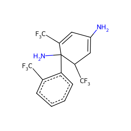 NC1=CC(C(F)(F)F)C(N)(c2ccccc2C(F)(F)F)C(C(F)(F)F)=C1